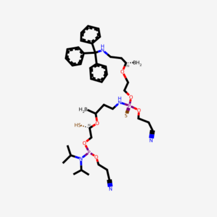 BC(CCNP(=S)(OCCC#N)OCCO[C@@H](B)CCNC(c1ccccc1)(c1ccccc1)c1ccccc1)O[C@@H](S)COP(OCCC#N)N(C(C)C)C(C)C